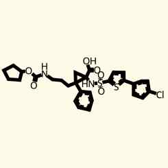 O=C(NCCCC1(c2ccccc2)CC1(NS(=O)(=O)c1ccc(-c2ccc(Cl)cc2)s1)C(=O)O)OC1CCCC1